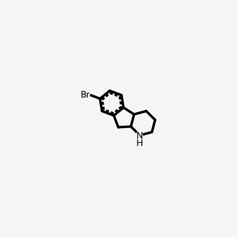 Brc1ccc2c(c1)CC1NCCCC21